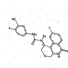 CCN(C(=O)Nc1ccc(F)c(C#N)c1)[C@@H]1COCc2[nH]c(=O)c3ccc(F)cc3c21